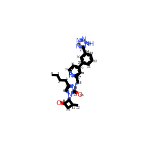 CCCCc1cn(C2C(=O)CC2C)c(=O)n1Cc1cc(-c2cccc(-c3nnn[nH]3)c2)ccn1